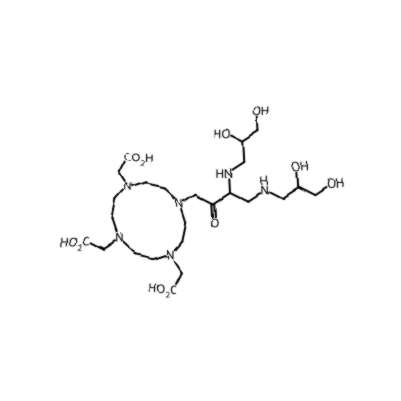 O=C(O)CN1CCN(CC(=O)O)CCN(CC(=O)C(CNCC(O)CO)NCC(O)CO)CCN(CC(=O)O)CC1